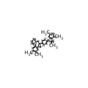 Cc1cc2c(nc(C)n2-c2ccc(C3=Nc4cc(C)c(C)cc4-n4ccnc4C3)cc2)c(C)n1